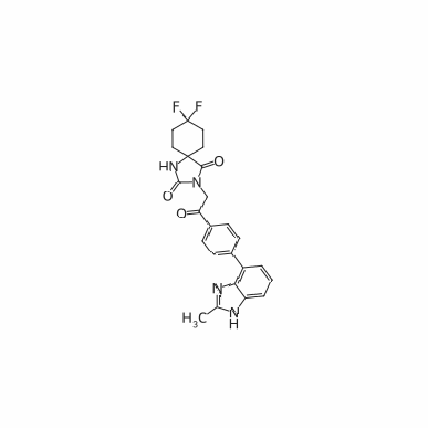 Cc1nc2c(-c3ccc(C(=O)CN4C(=O)NC5(CCC(F)(F)CC5)C4=O)cc3)cccc2[nH]1